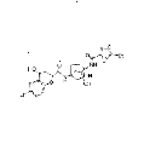 CCc1ncc(C(=O)NC23CCC(NC(=O)[C@H]4C[C@@H](O)c5cc(Cl)ccc5O4)(CC2)C[C@@H]3O)o1